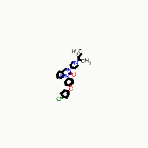 CCCC(C)N1CCC(N(Cc2ccccc2)C(=O)Nc2ccc(Oc3ccc(Cl)cc3)cc2)CC1